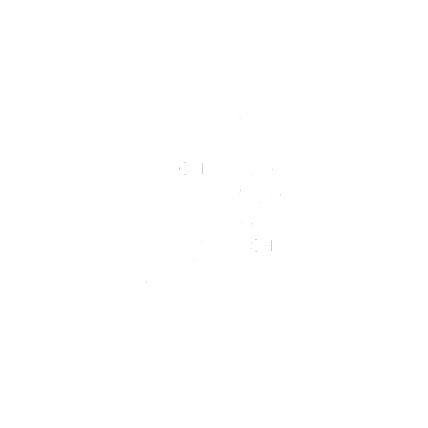 COC(=O)C(CCC(CO)c1ccc2ccccc2c1)c1ccccc1